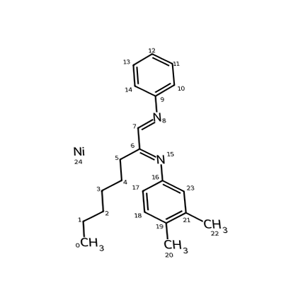 CCCCCCC(C=Nc1ccccc1)=Nc1ccc(C)c(C)c1.[Ni]